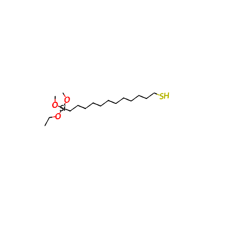 CCO[Si](CCCCCCCCCCCCS)(OC)OC